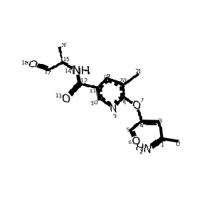 CC(=N)/C=C(\C=O)Oc1ncc(C(=O)N[C@H](C)C=O)cc1C